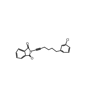 O=C1c2ccccc2C(=O)N1C#CCCCCc1cccc(Cl)c1